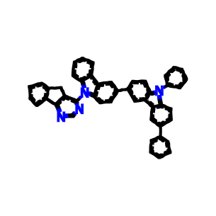 c1ccc(-c2ccc3c(c2)c2cc(-c4ccc5c(c4)c4ccccc4n5-c4ncnc5c4Cc4ccccc4-5)ccc2n3-c2ccccc2)cc1